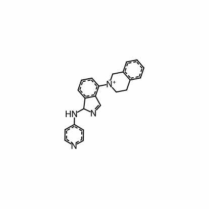 C1=NC(Nc2ccncc2)c2cccc([N+]3CCc4ccccc4C3)c21